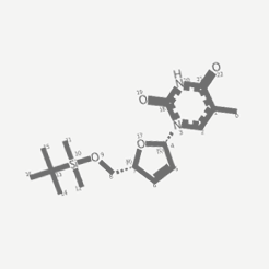 Cc1cn([C@@H]2C=C[C@H](CO[Si](C)(C)C(C)(C)C)O2)c(=O)[nH]c1=O